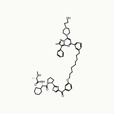 CN[C@@H](C)C(=O)N[C@H](C(=O)N1CCC[C@H]1c1nc(C(=O)c2cccc(OCCCCCCCCCc3cccc(-c4cc(N5CCN(CCO)CC5)n5nc(C)c(-c6ccccc6)c5n4)c3)c2)cs1)C1CCCCC1